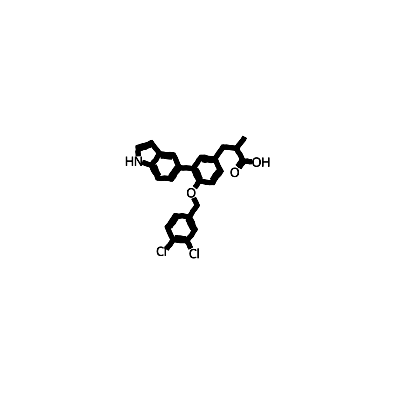 CC(Cc1ccc(OCc2ccc(Cl)c(Cl)c2)c(-c2ccc3[nH]ccc3c2)c1)C(=O)O